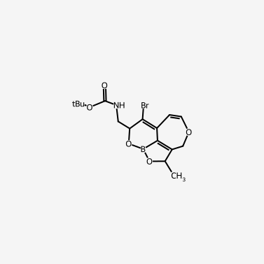 CC1OB2OC(CNC(=O)OC(C)(C)C)C(Br)=C3C=COCC1=C23